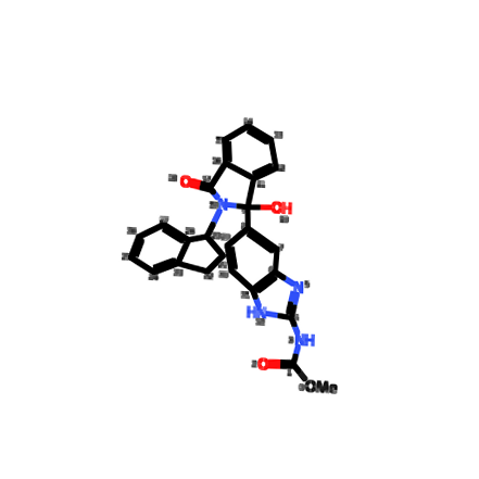 COC(=O)Nc1nc2cc(C3(O)c4ccccc4C(=O)N3C3CCc4ccccc43)ccc2[nH]1